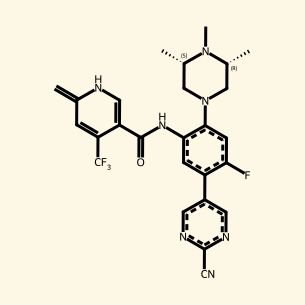 C=C1C=C(C(F)(F)F)C(C(=O)Nc2cc(-c3cnc(C#N)nc3)c(F)cc2N2C[C@@H](C)N(C)[C@@H](C)C2)=CN1